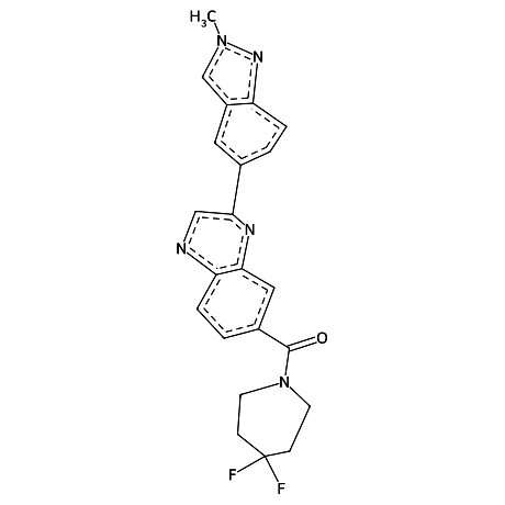 Cn1cc2cc(-c3cnc4ccc(C(=O)N5CCC(F)(F)CC5)cc4n3)ccc2n1